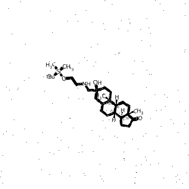 CC(C)(C)[Si](C)(C)OCCNCC1(O)CC[C@@]2(C)C(CC[C@@H]3[C@H]2CC[C@]2(C)C(=O)CC[C@@H]32)C1